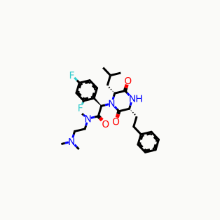 CC(C)C[C@@H]1C(=O)N[C@H](CCc2ccccc2)C(=O)N1[C@@H](C(=O)N(C)CCN(C)C)c1ccc(F)cc1F